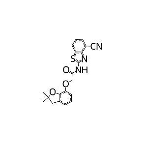 CC1(C)Cc2cccc(OCC(=O)Nc3nc4c(C#N)cccc4s3)c2O1